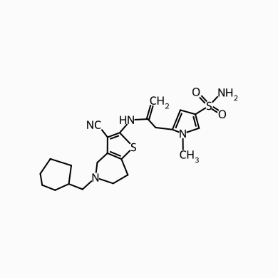 C=C(Cc1cc(S(N)(=O)=O)cn1C)Nc1sc2c(c1C#N)CN(CC1CCCCC1)CC2